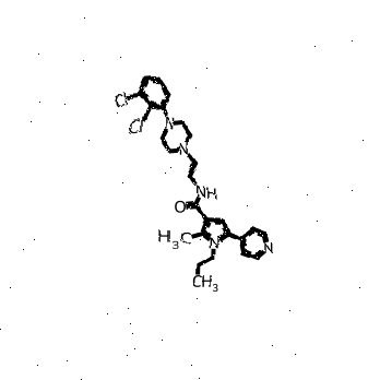 CCCn1c(-c2ccncc2)cc(C(=O)NCCN2CCN(c3cccc(Cl)c3Cl)CC2)c1C